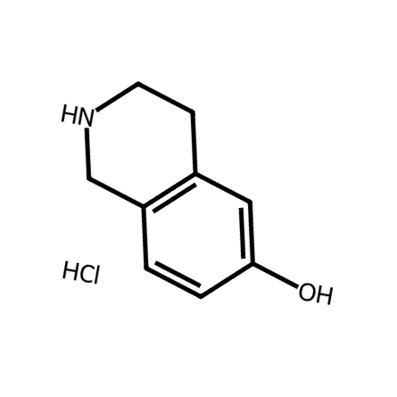 Cl.Oc1ccc2c(c1)CCNC2